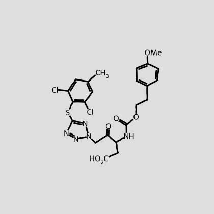 COc1ccc(CCOC(=O)NC(CC(=O)O)C(=O)Cn2nnc(Sc3c(Cl)cc(C)cc3Cl)n2)cc1